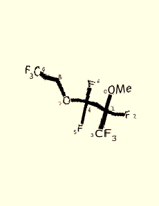 COC(F)(C(F)(F)F)C(F)(F)OCC(F)(F)F